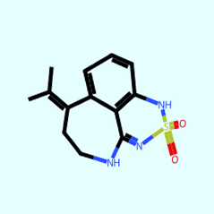 CC(C)=C1CCNC2=NS(=O)(=O)Nc3cccc1c32